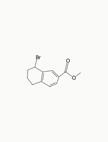 COC(=O)c1ccc2c(c1)C(Br)CCC2